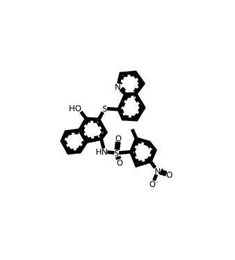 Cc1ccc([N+](=O)[O-])cc1S(=O)(=O)Nc1cc(Sc2cccc3cccnc23)c(O)c2ccccc12